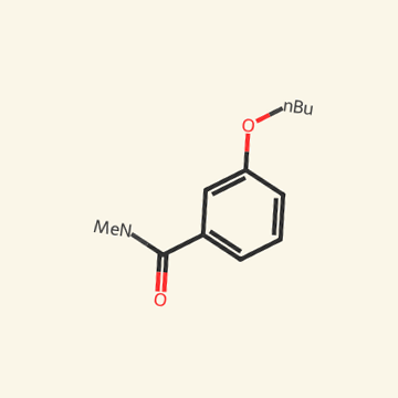 CCCCOc1cccc(C(=O)NC)c1